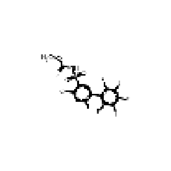 COC(=O)NS(=O)(=O)c1cc(-c2c(F)c(F)c(F)c(F)c2F)c(F)cc1Cl